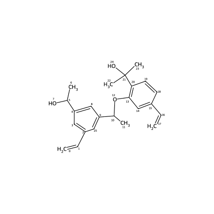 C=Cc1cc(C(C)O)cc(C(C)Oc2cc(C=C)ccc2C(C)(C)O)c1